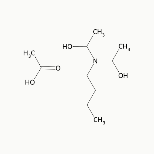 CC(=O)O.CCCCN(C(C)O)C(C)O